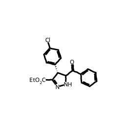 CCOC(=O)C1=NNC(C(=O)c2ccccc2)[C@H]1c1ccc(Cl)cc1